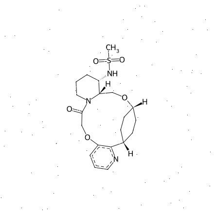 CS(=O)(=O)N[C@H]1CCCN2C(=O)COc3cccnc3[C@H]3CC[C@H](CC3)OC[C@@H]12